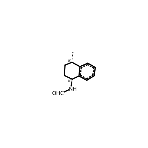 C[C@H]1CC[C@H](NC=O)c2ccccc21